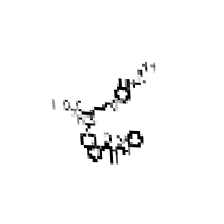 N=C/N=C\Nc1ccc(OCCCc2sc(N3CCc4cccc(C(=O)Nc5nc6ccccc6s5)c4C3)nc2C(=O)O)cc1